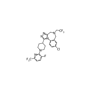 Fc1ccc(C(F)(F)F)nc1N1CCC(c2nnc3n2-c2ccc(Cl)cc2CN(CC(F)(F)F)C3)CC1